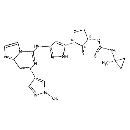 Cn1cc(-c2cc3nccn3c(Nc3cc([C@@H]4OC[C@H](OC(=O)NC5(C)CC5)[C@H]4F)[nH]n3)n2)cn1